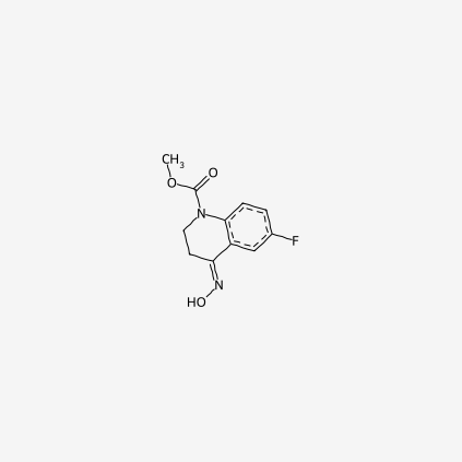 COC(=O)N1CCC(=NO)c2cc(F)ccc21